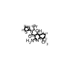 CC(C)CN(C(=O)c1c(N)nc2c(C(F)(F)F)cccc2c1O)c1nccs1